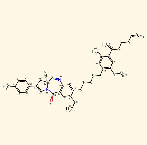 C=CCCCC(=C)c1cc(CC)c(CCCCCc2cc3c(cc2CC)C(=O)N2C=C(c4ccc(C)cc4)C[C@H]2C=N3)cc1C